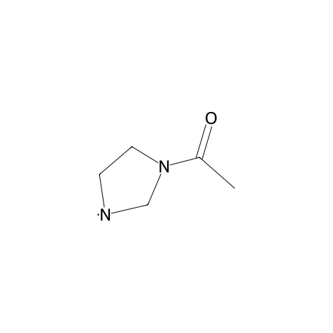 CC(=O)N1CC[N]C1